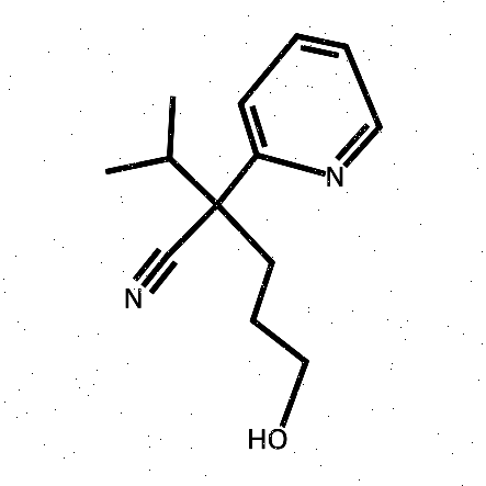 CC(C)C(C#N)(CCCO)c1ccccn1